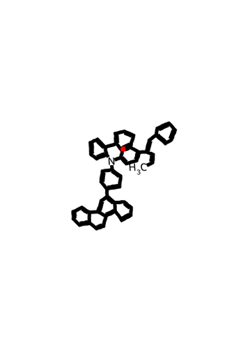 C/C=C\C(=C/c1ccccc1)c1ccc(N(c2ccc(-c3cc4c5ccccc5ccc4c4ccccc34)cc2)c2ccccc2-c2ccccc2)cc1